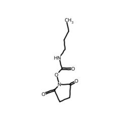 CCCCNC(=O)ON1C(=O)CCC1=O